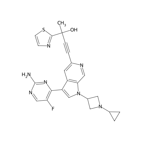 CC(O)(C#Cc1cc2c(-c3nc(N)ncc3F)cn(C3CN(C4CC4)C3)c2cn1)c1nccs1